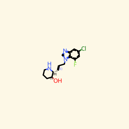 O[C@H]1CCCN[C@@H]1/C=C/Cn1cnc2cc(Cl)cc(F)c21